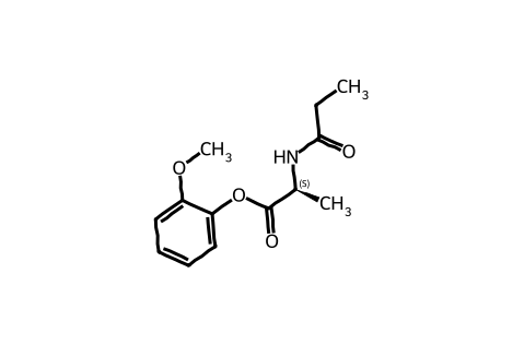 CCC(=O)N[C@@H](C)C(=O)Oc1ccccc1OC